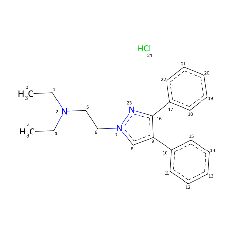 CCN(CC)CCn1cc(-c2ccccc2)c(-c2ccccc2)n1.Cl